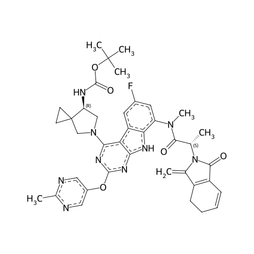 C=C1C2=C(C=CCC2)C(=O)N1[C@@H](C)C(=O)N(C)c1cc(F)cc2c1[nH]c1nc(Oc3cnc(C)nc3)nc(N3C[C@H](NC(=O)OC(C)(C)C)C4(CC4)C3)c12